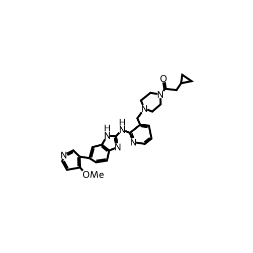 COc1ccncc1-c1ccc2nc(Nc3ncccc3CN3CCN(C(=O)CC4CC4)CC3)[nH]c2c1